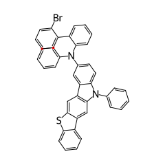 Brc1ccccc1-c1ccccc1N(c1ccccc1)c1ccc2c(c1)c1cc3sc4ccccc4c3cc1n2-c1ccccc1